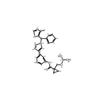 Cc1ncsc1C(c1ccccc1)n1cc(-c2cncc(OC(=O)C3(CON(O)O)CC3)c2)nn1